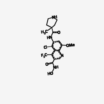 COc1cc(NC(=O)C2(C)CCNCC2)c(Cl)c2c(C(F)(F)F)c(C(=O)NO)cnc12